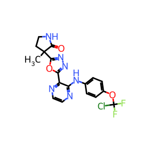 CC1(c2nnc(-c3nccnc3Nc3ccc(OC(F)(F)Cl)cc3)o2)CCNC1=O